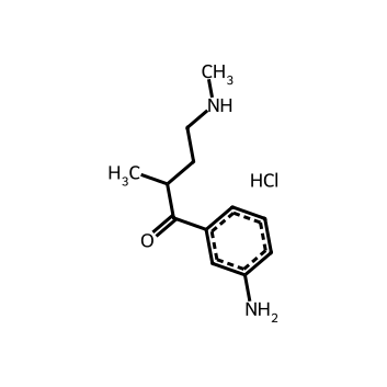 CNCCC(C)C(=O)c1cccc(N)c1.Cl